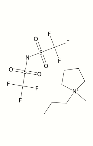 CCC[N+]1(C)CCCC1.O=S(=O)([N-]S(=O)(=O)C(F)(F)F)C(F)(F)F